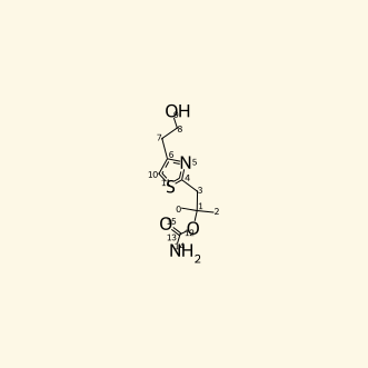 CC(C)(Cc1nc(CCO)cs1)OC(N)=O